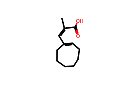 CC(=CC1=CCCCCCC1)C(=O)O